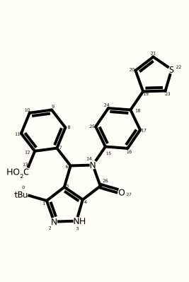 CC(C)(C)c1n[nH]c2c1C(c1ccccc1C(=O)O)N(c1ccc(-c3ccsc3)cc1)C2=O